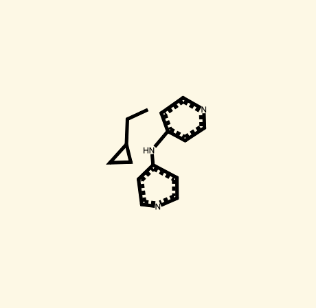 CCC1CC1.c1cc(Nc2ccncc2)ccn1